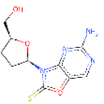 Nc1ncc2oc(=S)n([C@H]3CC[C@@H](CO)O3)c2n1